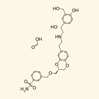 NS(=O)(=O)c1cccc(COC[C@@H]2COc3ccc(CCNC[C@H](O)c4ccc(O)c(CO)c4)cc3O2)c1.O=CO